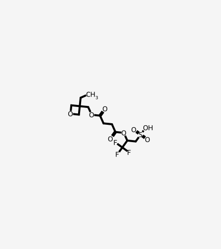 CCC1(COC(=O)CCC(=O)OC(CS(=O)(=O)O)C(F)(F)F)COC1